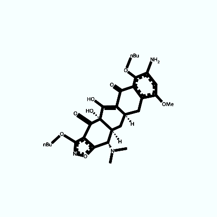 CCCCOc1noc2c1C(=O)[C@@]1(O)C(O)=C3C(=O)c4c(c(OC)cc(N)c4OCCCC)C[C@H]3C[C@H]1[C@@H]2N(C)C